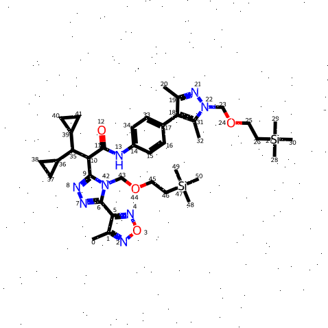 Cc1nonc1-c1nnc(C(C(=O)Nc2ccc(-c3c(C)nn(COCC[Si](C)(C)C)c3C)cc2)C(C2CC2)C2CC2)n1COCC[Si](C)(C)C